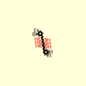 CCc1ccc(C=C(O)[C@@H](O)[C@@H](O)[C@H](O)[C@@H](O)C(O)=Cc2ccc(CC)c(CC)c2)cc1CC